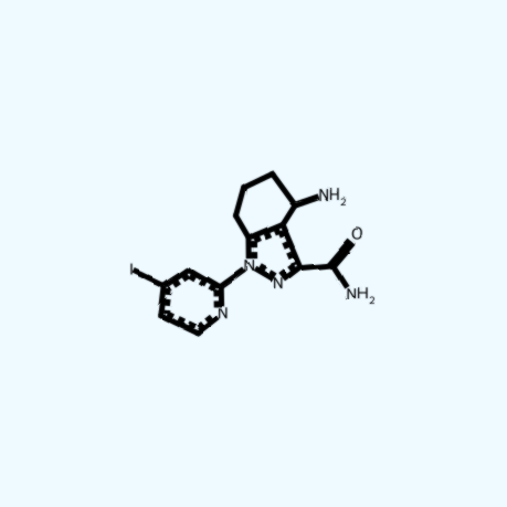 NC(=O)c1nn(-c2cc(I)ccn2)c2c1C(N)CCC2